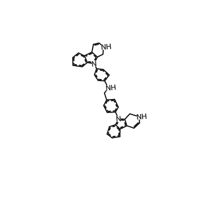 C1=Cc2c(n(-c3ccc(CNc4ccc(-n5c6c(c7ccccc75)C=CNC6)cc4)cc3)c3ccccc23)CN1